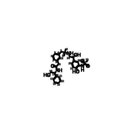 CC(C)(Cc1cccc(CC(=O)NC(CO)c2ccccc2)c1)NCC(O)c1ccc(O)c(NS(C)(=O)=O)c1